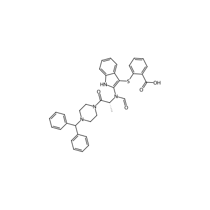 C[C@H](C(=O)N1CCN(C(c2ccccc2)c2ccccc2)CC1)N(C=O)c1[nH]c2ccccc2c1Sc1ccccc1C(=O)O